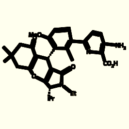 CCN1C(=O)C2=C(OC3=C(C(=O)CC(C)(C)C3)[C@@H]2c2c(OC)ccc(-c3ccc(N)c(C(=O)O)n3)c2C)[C@H]1C(C)C